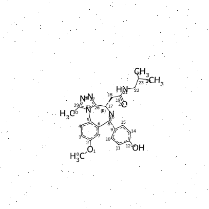 COc1ccc2c(c1)C(c1ccc(O)cc1)=N[C@H](CC(=O)NCC(C)C)c1nnc(C)n1-2